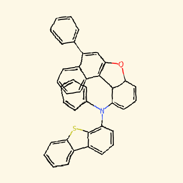 C1=CC2Oc3cc(-c4ccccc4)c4ccccc4c3C2C(N(c2ccccc2)c2cccc3c2sc2ccccc23)=C1